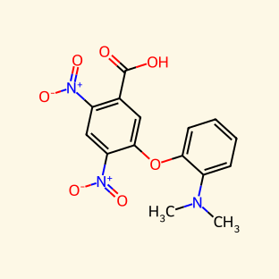 CN(C)c1ccccc1Oc1cc(C(=O)O)c([N+](=O)[O-])cc1[N+](=O)[O-]